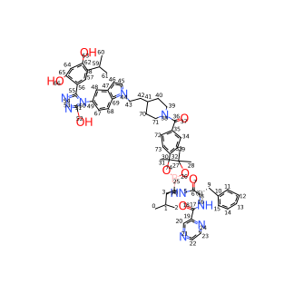 CC(C)C[C@H](NC(=O)[C@H](Cc1ccccc1)NC(=O)c1cnccn1)B1OC(C)(C)C(C)(c2ccc(C(=O)N3CCC(CCn4ccc5cc(-n6c(O)nnc6-c6cc(C(C)C)c(O)cc6O)ccc54)CC3)cc2)O1